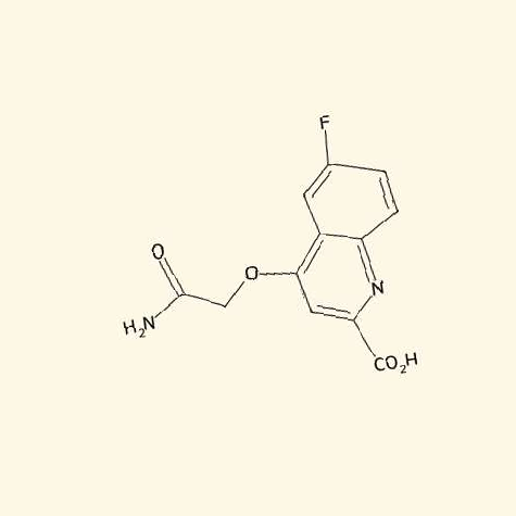 NC(=O)COc1cc(C(=O)O)nc2ccc(F)cc12